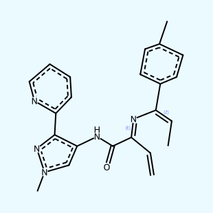 C=C/C(=N\C(=C/C)c1ccc(C)cc1)C(=O)Nc1cn(C)nc1-c1ccccn1